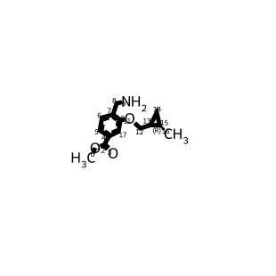 COC(=O)c1ccc(CN)c(OCC2C[C@H]2C)c1